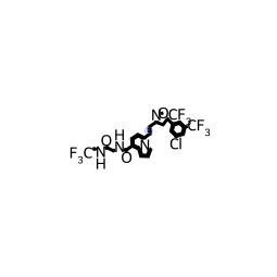 O=C(CNC(=O)c1ccc(/C=C/C2=NOC(c3cc(Cl)cc(C(F)(F)F)c3)(C(F)(F)F)C2)n2cccc12)NCC(F)(F)F